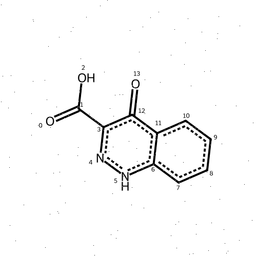 O=C(O)c1n[nH]c2ccccc2c1=O